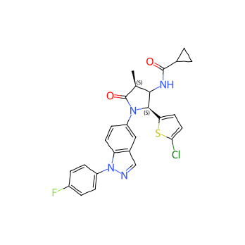 C[C@@H]1C(=O)N(c2ccc3c(cnn3-c3ccc(F)cc3)c2)[C@H](c2ccc(Cl)s2)C1NC(=O)C1CC1